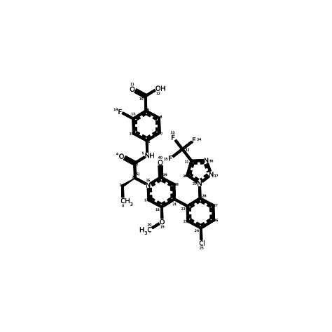 CC[C@@H](C(=O)Nc1ccc(C(=O)O)c(F)c1)n1cc(OC)c(-c2cc(Cl)ccc2-n2cc(C(F)(F)F)nn2)cc1=O